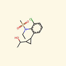 [CH2]C(O)C1CC1c1cccc(Cl)c1N(CC)S(C)(=O)=O